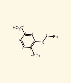 Nc1ccc(C(=O)O)cc1CCF